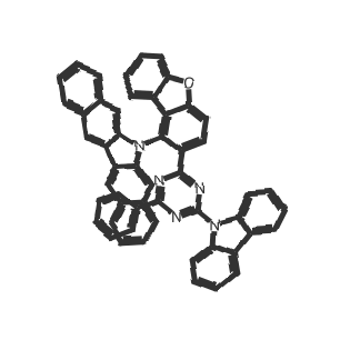 c1ccc(-c2nc(-c3ccc4oc5ccccc5c4c3-n3c4cc5ccccc5cc4c4cc5ccccc5cc43)nc(-n3c4ccccc4c4ccccc43)n2)cc1